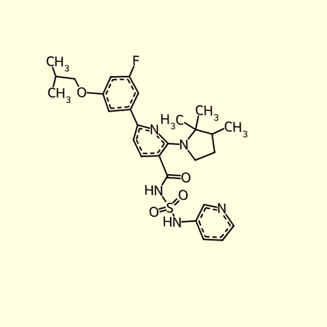 CC(C)COc1cc(F)cc(-c2ccc(C(=O)NS(=O)(=O)Nc3cccnc3)c(N3CCC(C)C3(C)C)n2)c1